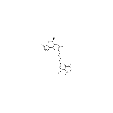 CC1=C(CCCCc2cc(Cl)c3c(c2)N(C)CCN3C)CC(c2cnn(C)c2)C(C(F)F)=C1